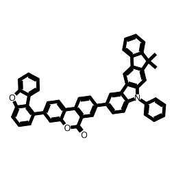 CC1(C)c2ccccc2-c2cc3c4cc(-c5ccc6c(c5)c(=O)oc5cc(-c7cccc8oc9ccccc9c78)ccc56)ccc4n(-c4ccccc4)c3cc21